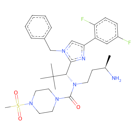 C[C@@H](N)CCN(C(=O)N1CCN(S(C)(=O)=O)CC1)[C@@H](c1nc(-c2cc(F)ccc2F)cn1Cc1ccccc1)C(C)(C)C